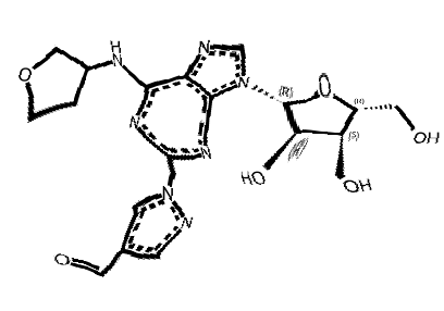 O=Cc1cnn(-c2nc(NC3CCOC3)c3ncn([C@@H]4O[C@H](CO)[C@@H](O)[C@H]4O)c3n2)c1